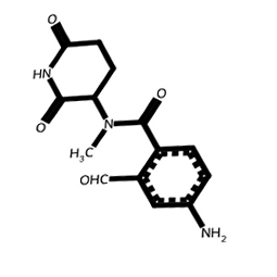 CN(C(=O)c1ccc(N)cc1C=O)C1CCC(=O)NC1=O